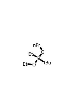 CCCO[Si](CC)(OCC)C(C)(C)C